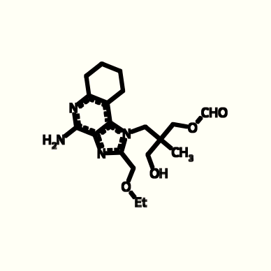 CCOCc1nc2c(N)nc3c(c2n1CC(C)(CO)COC=O)CCCC3